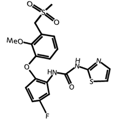 COc1c(CS(C)(=O)=O)cccc1Oc1ccc(F)cc1NC(=O)Nc1nccs1